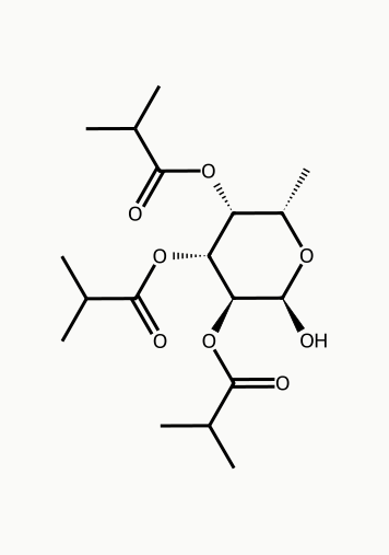 CC(C)C(=O)O[C@@H]1[C@H](OC(=O)C(C)C)[C@H](C)O[C@@H](O)[C@H]1OC(=O)C(C)C